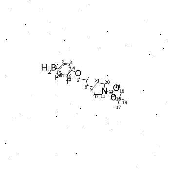 Bc1ccc(OCCCC2CCN(C(=O)OC(C)(C)C)CC2)c(F)c1F